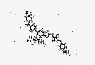 BC(B)(B)Oc1cc(-c2ccc(C(=O)N3CCC(F)(F)CC3)cn2)cc2cc(CNC(=O)/C=C/c3ccc(N)nc3)oc12